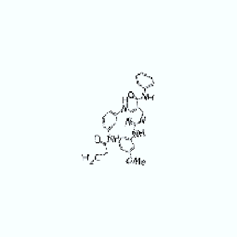 C=CC(=O)Nc1cccc(Nc2nc(Nc3cccc(OC)c3)ncc2C(=O)Nc2ccccc2)c1